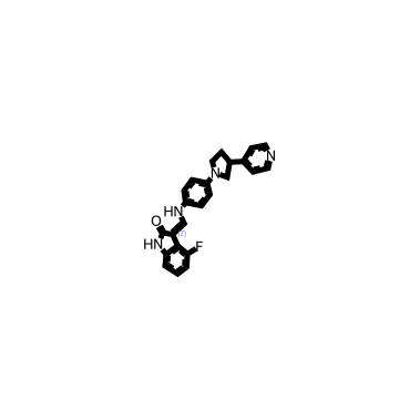 O=C1Nc2cccc(F)c2/C1=C/Nc1ccc(N2CCC(c3ccncc3)C2)cc1